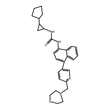 O=C(Nc1ccc(-c2ccc(CN3CCOCC3)nc2)c2ccccc12)NC1CC1C1CCCC1